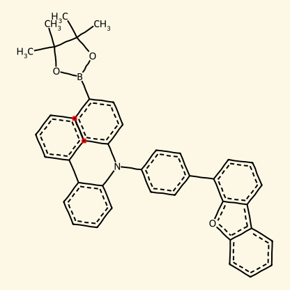 CC1(C)OB(c2ccc(N(c3ccc(-c4cccc5c4oc4ccccc45)cc3)c3ccccc3-c3ccccc3)cc2)OC1(C)C